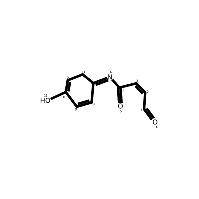 O=C/C=C\C(=O)N=C1C=CC(O)=CC1